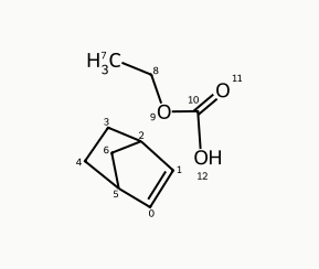 C1=CC2CCC1C2.CCOC(=O)O